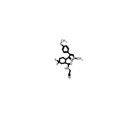 CSc1ccc(-c2cn(C)nc2C2CCC(F)(F)CC2C(=O)NCC#N)cc1